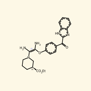 CCOC(=O)[C@H]1CCCN(/C(N)=C(/N)Oc2ccc(C(=O)c3nc4ccccc4[nH]3)cc2)C1